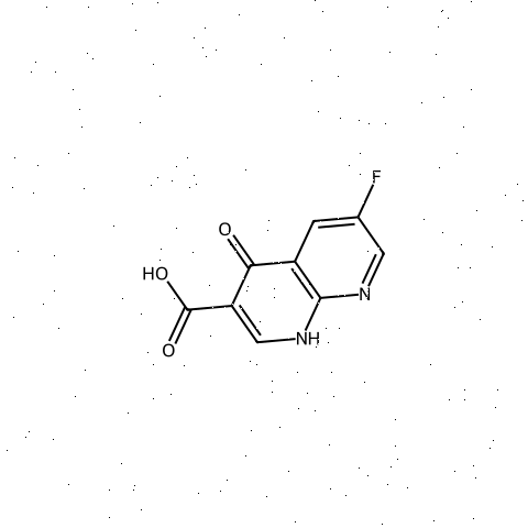 O=C(O)c1c[nH]c2ncc(F)cc2c1=O